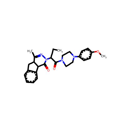 CCC(C(=O)N1CCN(c2ccc(OC)cc2)CC1)N1N=C(C)C2Cc3ccccc3C2C1=O